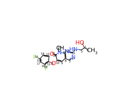 CC(O)CNc1ncc2cc(Oc3ccc(F)cc3F)c(=O)n(C)c2n1